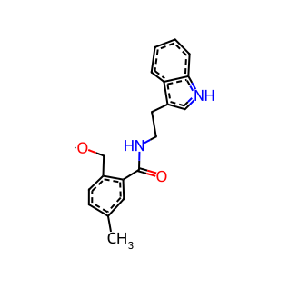 Cc1ccc(C[O])c(C(=O)NCCc2c[nH]c3ccccc23)c1